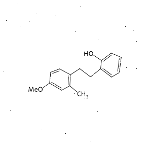 COc1ccc(CCc2ccccc2O)c(C)c1